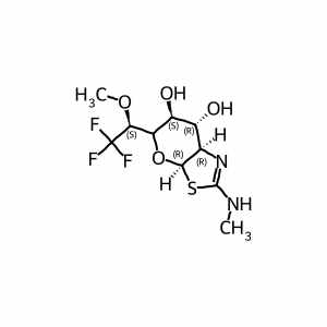 CNC1=N[C@@H]2[C@@H](O)[C@H](O)C([C@H](OC)C(F)(F)F)O[C@@H]2S1